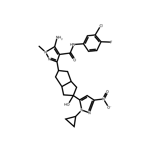 Cn1nc(C2CC3CC(O)(c4cc([N+](=O)[O-])nn4C4CC4)CC3C2)c(C(=O)Nc2ccc(F)c(Cl)c2)c1N